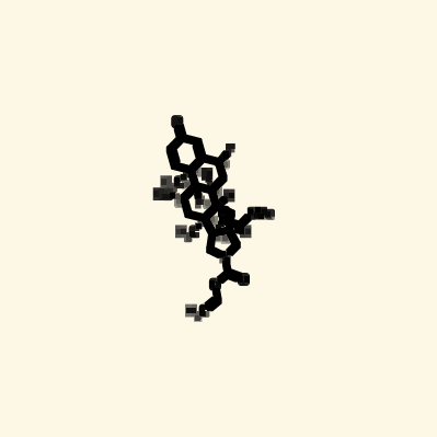 C=COC(=O)N1C[C@@H]2C[C@H]3[C@@H]4C[C@H](F)C5=CC(=O)C=C[C@]5(C)[C@@]4(F)[C@@H](O)C[C@]3(C)[C@]2(C(=O)CSC)C1